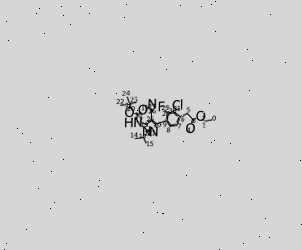 CCOC(=O)Cc1ccc(-c2nn(C(C)C)c(NC(=O)OC(C)(C)C)c2C#N)c(F)c1Cl